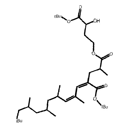 CCC(C)CC(C)CC(C)CC(C)C=C(C)C=C(CC(C)C(=O)OCCC(O)C(=O)OC(C)(C)C)C(=O)OC(C)(C)C